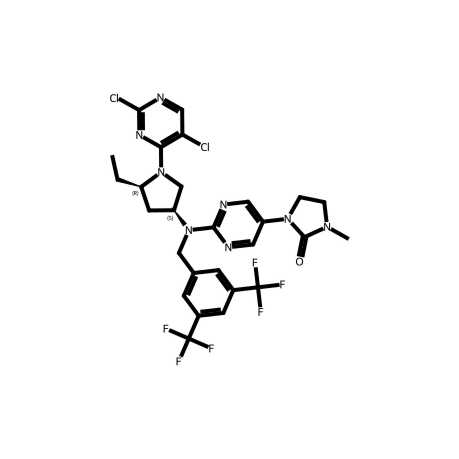 CC[C@@H]1C[C@H](N(Cc2cc(C(F)(F)F)cc(C(F)(F)F)c2)c2ncc(N3CCN(C)C3=O)cn2)CN1c1nc(Cl)ncc1Cl